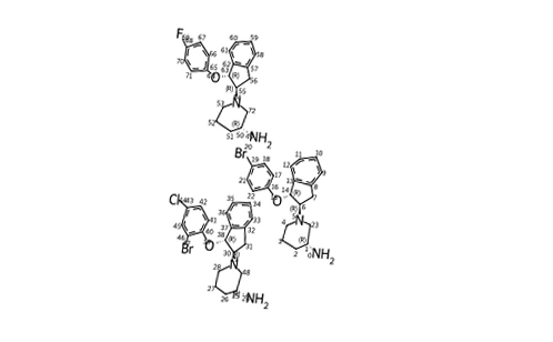 N[C@@H]1CCCN([C@@H]2Cc3ccccc3[C@H]2Oc2ccc(Br)cc2)C1.N[C@@H]1CCCN([C@@H]2Cc3ccccc3[C@H]2Oc2ccc(Cl)cc2Br)C1.N[C@@H]1CCCN([C@@H]2Cc3ccccc3[C@H]2Oc2ccc(F)cc2)C1